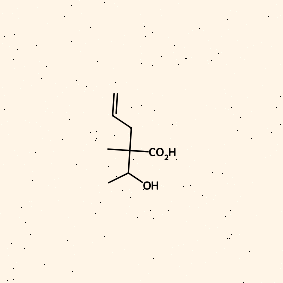 C=CCC(C)(C(=O)O)C(C)O